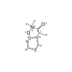 CC1C(=O)[N+](C)(C)Oc2ccccc21